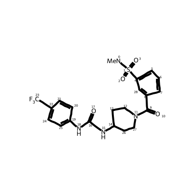 CNS(=O)(=O)c1cccc(C(=O)N2CCC(NC(=O)Nc3ccc(C(F)(F)F)cc3)CC2)c1